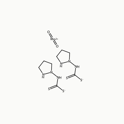 S=C([S-])NN1CCCN1.S=C([S-])NN1CCCN1.[O]=[Mo+2]=[O]